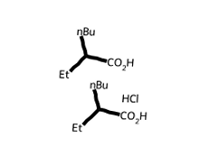 CCCCC(CC)C(=O)O.CCCCC(CC)C(=O)O.Cl